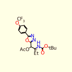 CC[C@H](NC(=O)OC(C)(C)C)C(OC(C)=O)c1nnc(-c2ccc(OC(F)(F)F)cc2)o1